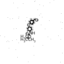 CC(C)(C)OC(=O)NC1CCC(Oc2ccc(C=O)cc2)CC1